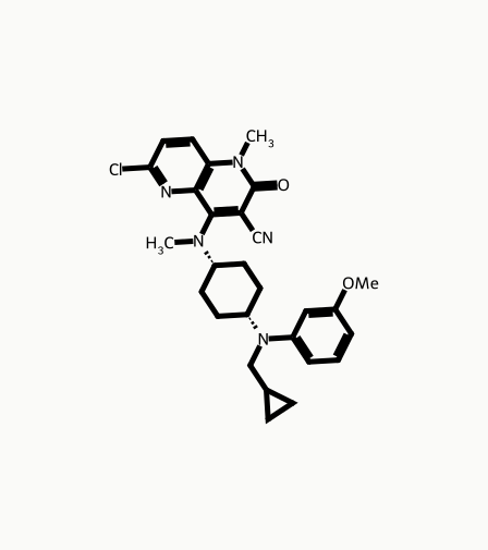 COc1cccc(N(CC2CC2)[C@H]2CC[C@@H](N(C)c3c(C#N)c(=O)n(C)c4ccc(Cl)nc34)CC2)c1